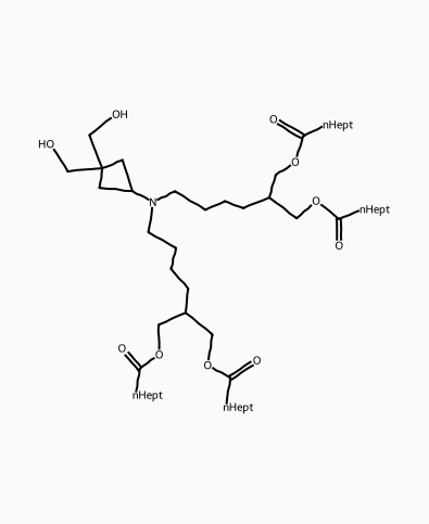 CCCCCCCC(=O)OCC(CCCCN(CCCCC(COC(=O)CCCCCCC)COC(=O)CCCCCCC)C1CC(CO)(CO)C1)COC(=O)CCCCCCC